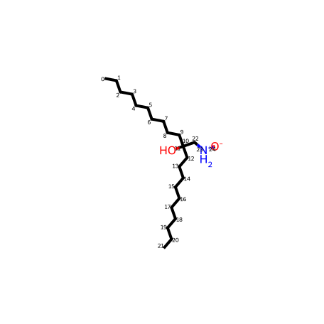 CCCCCCCCCCC(O)(CCCCCCCCCC)C[NH2+][O-]